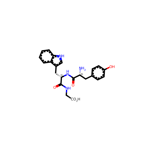 N[C@H](Cc1ccc(O)cc1)C(=O)N[C@@H](Cc1c[nH]c2ccccc12)C(=O)NCC(=O)O